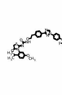 COc1ccc(C(C)C)c(N2C(=O)CS/C2=N\C(=O)NOCCc2ccc(-c3ncn(-c4ccc(OC(F)(F)F)cc4)n3)cc2)c1